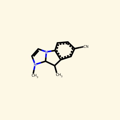 CC1c2cc(C#N)ccc2N2C=CN(C)C12